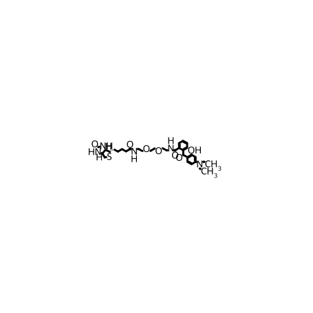 CCN(CC)c1ccc(C(=O)c2ccccc2C(=O)NCCOCCOCCNC(=O)CCCC[C@@H]2SC[C@@H]3NC(=O)N[C@@H]32)c(O)c1